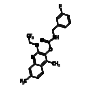 Cc1c(OC(=O)NCc2cccc(F)c2)c(OCC(F)(F)F)nc2cc(C(F)(F)F)ccc12